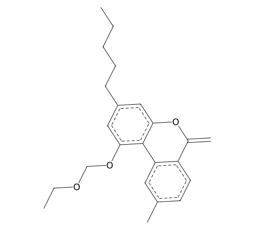 C=C1Oc2cc(CCCCC)cc(OCOCC)c2-c2cc(C)ccc21